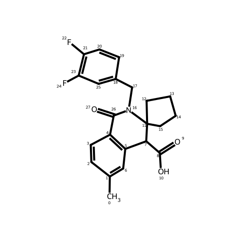 Cc1ccc2c(c1)C(C(=O)O)C1(CCCC1)N(Cc1ccc(F)c(F)c1)C2=O